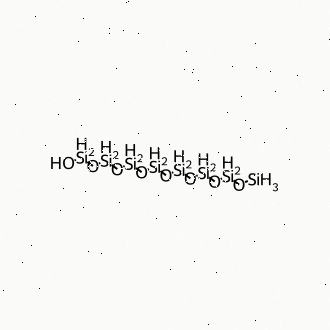 O[SiH2]O[SiH2]O[SiH2]O[SiH2]O[SiH2]O[SiH2]O[SiH2]O[SiH3]